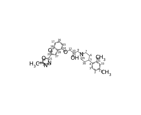 Cc1ccc(C2CCN(C[C@H](O)COc3cccc4oc(-c5nnc(C)o5)cc34)CC2)c(C)c1